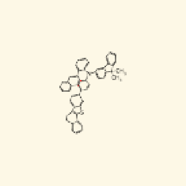 CC1(C)c2ccccc2-c2cc(N(c3ccc(-c4ccc5c(c4)sc4c6ccccc6ccc54)cc3)c3ccccc3-c3ccc4ccccc4c3)ccc21